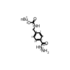 CCCCOC(=O)NCc1ccc(C(=O)NN)cc1